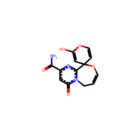 NC(=O)c1cc(=O)n2c(n1)C1(C=COC(O)=C1)OC=CC2